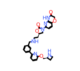 O=C1COc2ccc(N3C[C@@H](CCNCc4cccc(-c5cccc(OC[C@@H]6CCN6)n5)c4)OC3=O)nc2N1